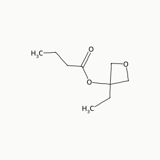 CCCC(=O)OC1(CC)COC1